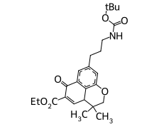 CCOC(=O)C1=CC2c3c(cc(CCCNC(=O)OC(C)(C)C)cc3C1=O)OCC2(C)C